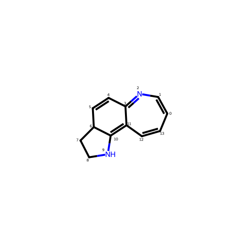 C1=CN=C2C=CC3CCNC3=C2C=C1